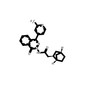 O=C(C[C@H]1C[C@@H]2CC[C@H]1C2)Nn1nc(-c2ccnc(C(F)(F)F)c2)c2ccccc2c1=O